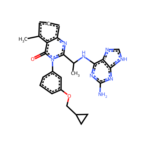 Cc1cccc2nc(C(C)Nc3nc(N)nc4[nH]cnc34)n(-c3cccc(OCC4CC4)c3)c(=O)c12